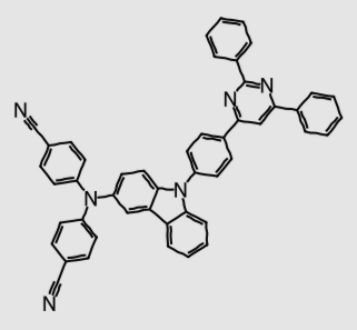 N#Cc1ccc(N(c2ccc(C#N)cc2)c2ccc3c(c2)c2ccccc2n3-c2ccc(-c3cc(-c4ccccc4)nc(-c4ccccc4)n3)cc2)cc1